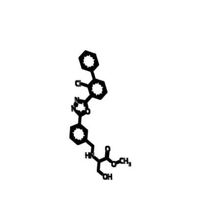 COC(=O)C(CO)NCc1cccc(-c2nnc(-c3cccc(-c4ccccc4)c3Cl)o2)c1